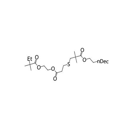 CCCCCCCCCCCCOC(=O)C(C)(C)CSCCC(=O)OCCOC(=O)C(C)(C)CC